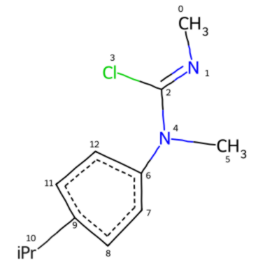 CN=C(Cl)N(C)c1ccc(C(C)C)cc1